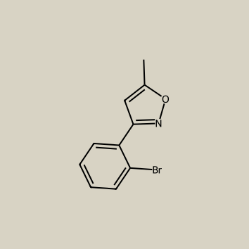 Cc1cc(-c2ccccc2Br)no1